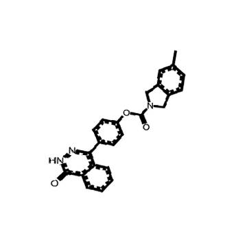 Cc1ccc2c(c1)CN(C(=O)Oc1ccc(-c3n[nH]c(=O)c4ccccc34)cc1)C2